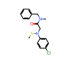 CSN(CC(=O)N(C)Cc1ccccc1)c1ccc(Cl)cc1